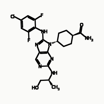 C[C@@H](CO)Nc1ncc2nc(Nc3c(F)cc(Cl)cc3F)n([C@H]3CC[C@H](C(N)=O)CC3)c2n1